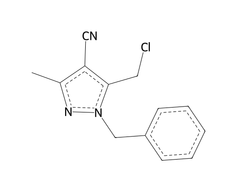 Cc1nn(Cc2ccccc2)c(CCl)c1C#N